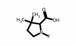 CC1(C)CCN(F)C1C(=O)O